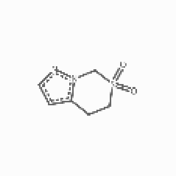 O=S1(=O)CCc2ccnn2C1